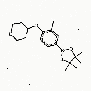 Cc1cc(B2OC(C)(C)C(C)(C)O2)ccc1OC1CCOCC1